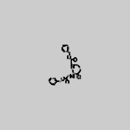 O=C(CN[C@@H]1CN(CC(=O)OCc2ccccc2)CCCC1=O)OCc1ccccc1